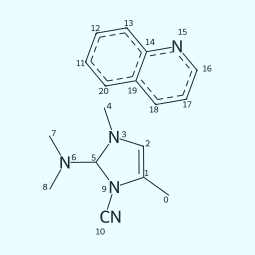 CC1=CN(C)C(N(C)C)N1C#N.c1ccc2ncccc2c1